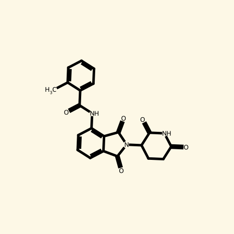 Cc1ccccc1C(=O)Nc1cccc2c1C(=O)N(C1CCC(=O)NC1=O)C2=O